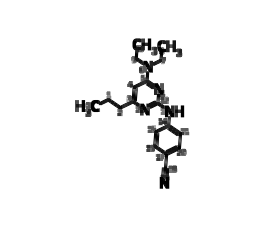 CCCc1cc(N(CC)CC)nc(Nc2ccc(C#N)cc2)n1